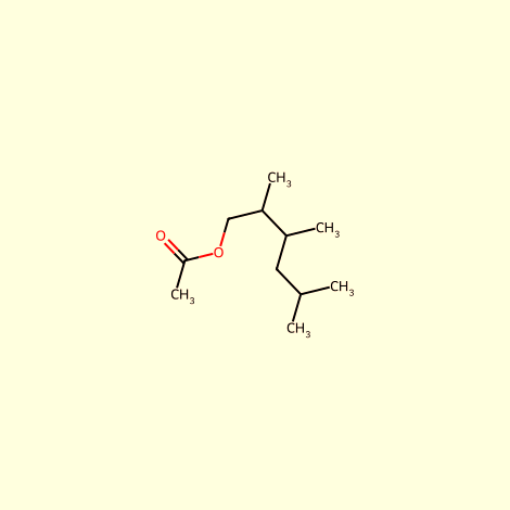 CC(=O)OCC(C)C(C)CC(C)C